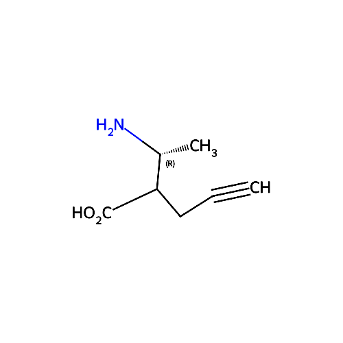 C#CCC(C(=O)O)[C@@H](C)N